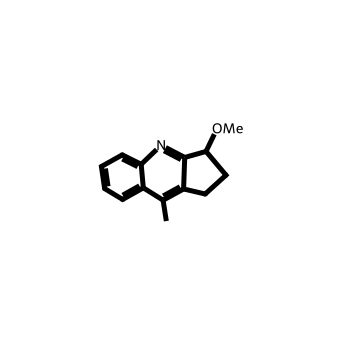 COC1CCc2c1nc1ccccc1c2C